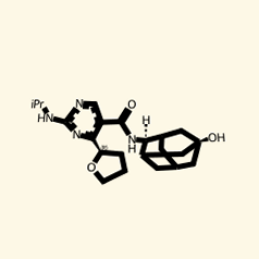 CC(C)Nc1ncc(C(=O)N[C@H]2C3CC4CC2C[C@@](O)(C4)C3)c([C@H]2CCCO2)n1